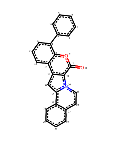 O=c1oc2c(-c3ccccc3)cccc2c2cc3c4ccccc4ccn3c12